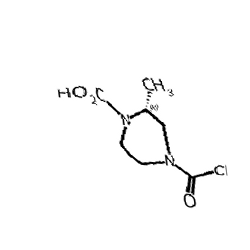 C[C@@H]1CN(C(=O)Cl)CCN1C(=O)O